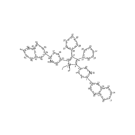 C[Si]1(C)C(c2ccc(-c3ccc4ccccc4c3)nc2)=C(c2ccccc2)C(c2ccccc2)=C1c1ccc(-c2ccc3ccccc3c2)nc1